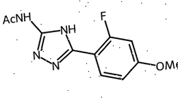 COc1ccc(-c2nnc(NC(C)=O)[nH]2)c(F)c1